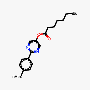 CCCCCCc1ccc(-c2ncc(OC(=O)CCCCCC(C)CC)cn2)cc1